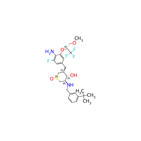 COC[C@@H](Oc1cc(C[C@@H]2C[S@@+]([O-])C[C@H](NCc3cccc(C(C)(C)C)c3)[C@H]2O)cc(F)c1N)C(F)(F)F